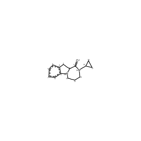 O=C1C2Cc3ccccc3N2CCCN1C1CC1